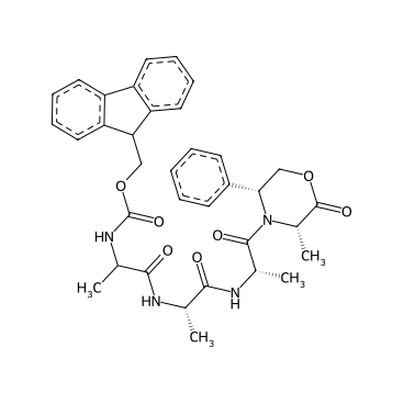 CC(NC(=O)OCC1c2ccccc2-c2ccccc21)C(=O)N[C@@H](C)C(=O)N[C@@H](C)C(=O)N1[C@@H](C)C(=O)OC[C@H]1c1ccccc1